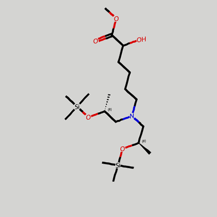 COC(=O)C(O)CCCCN(C[C@@H](C)O[Si](C)(C)C)C[C@@H](C)O[Si](C)(C)C